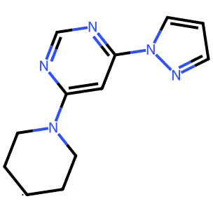 [CH]1CCN(c2cc(-n3cccn3)ncn2)CC1